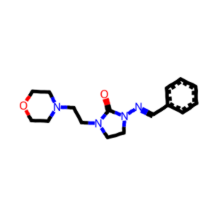 O=C1N(CCN2CCOCC2)CCN1N=Cc1ccccc1